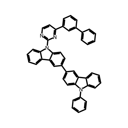 c1ccc(-c2cccc(-c3ccnc(-n4c5ccccc5c5cc(-c6ccc7c(c6)c6ccccc6n7-c6ccccc6)ccc54)n3)c2)cc1